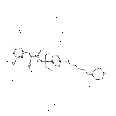 CCC(CC)(NC(=O)/C(C#N)=C/c1cccc(Cl)n1)c1ccc(OCCOCCN2CCN(C)CC2)cc1